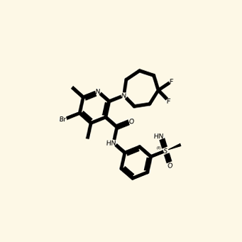 Cc1nc(N2CCCC(F)(F)CC2)c(C(=O)Nc2cccc([S@](C)(=N)=O)c2)c(C)c1Br